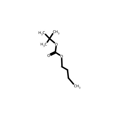 CCC[CH]OC(=O)OC(C)(C)C